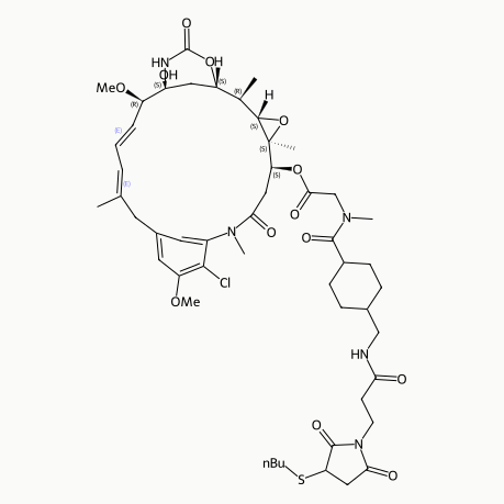 CCCCSC1CC(=O)N(CCC(=O)NCC2CCC(C(=O)N(C)CC(=O)O[C@H]3CC(=O)N(C)c4cc(cc(OC)c4Cl)C/C(C)=C/C=C/[C@@H](OC)[C@@]4(O)C[C@H](OC(=O)N4)[C@@H](C)[C@@H]4O[C@@]34C)CC2)C1=O